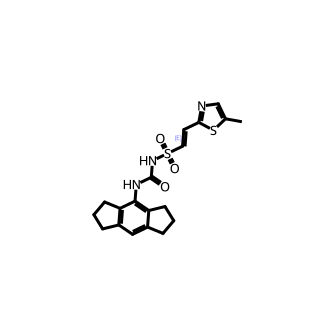 Cc1cnc(/C=C/S(=O)(=O)NC(=O)Nc2c3c(cc4c2CCC4)CCC3)s1